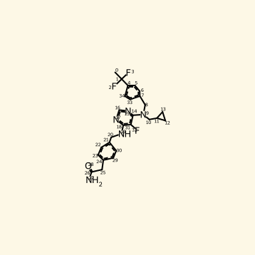 CC(F)(F)c1ccc(CN(CC2CC2)c2ncnc(NCc3ccc(CC(N)=O)cc3)c2F)cc1